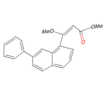 COC(=O)/C=C(/OC)c1cccc2ccc(-c3ccccc3)cc12